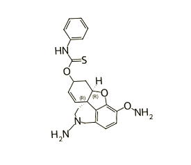 NOc1ccc2c3c1O[C@@H]1CC(OC(=S)Nc4ccccc4)C=C[C@]31CCN(N)C2